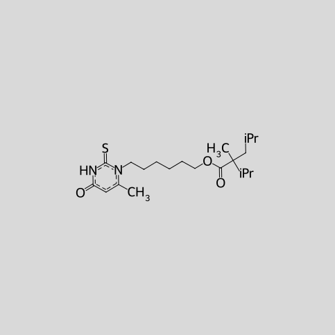 Cc1cc(=O)[nH]c(=S)n1CCCCCCOC(=O)C(C)(CC(C)C)C(C)C